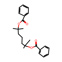 CC(C)(CCCC(C)(C)OC(=O)c1ccccc1)OC(=O)c1ccccc1